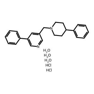 Cl.Cl.O.O.O.c1ccc(-c2cncc(CN3CCC(c4ccccc4)CC3)c2)cc1